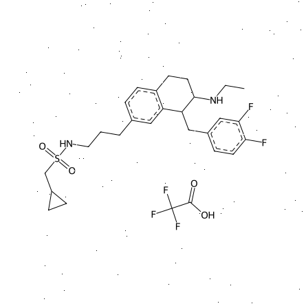 CCNC1CCc2ccc(CCCNS(=O)(=O)CC3CC3)cc2C1Cc1ccc(F)c(F)c1.O=C(O)C(F)(F)F